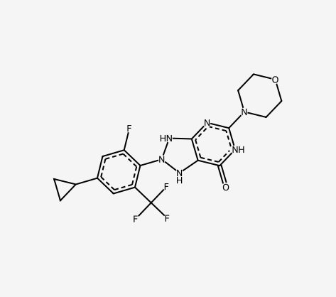 O=c1[nH]c(N2CCOCC2)nc2c1NN(c1c(F)cc(C3CC3)cc1C(F)(F)F)N2